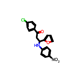 O=C(CC(Nc1ccc([N+](=O)[O-])cc1)c1ccco1)c1ccc(Cl)cc1